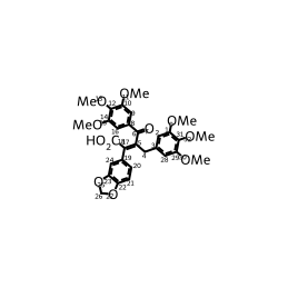 COc1cc(CC(C(=O)c2cc(OC)c(OC)c(OC)c2)=C(C(=O)O)c2ccc3c(c2)OCO3)cc(OC)c1OC